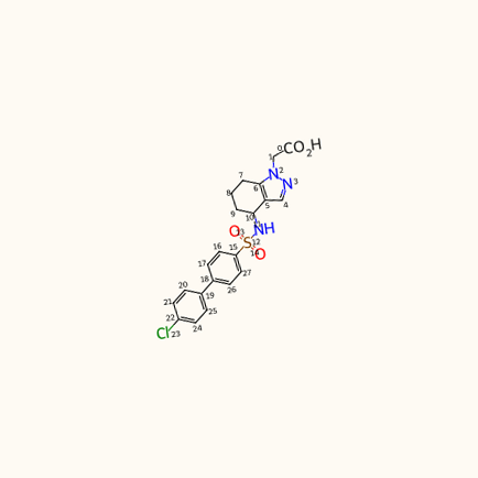 O=C(O)Cn1ncc2c1CCCC2NS(=O)(=O)c1ccc(-c2ccc(Cl)cc2)cc1